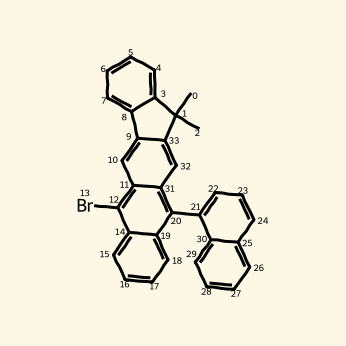 CC1(C)c2ccccc2-c2cc3c(Br)c4ccccc4c(-c4cccc5ccccc45)c3cc21